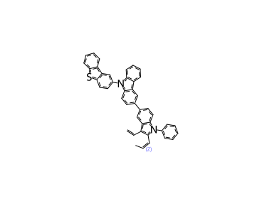 C=Cc1c(/C=C\C)n(-c2ccccc2)c2ccc(-c3ccc4c(c3)c3ccccc3n4-c3ccc4sc5ccccc5c4c3)cc12